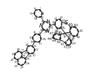 c1ccc(-c2nc(-c3ccc(-c4ccc5c(c4)-c4cccc6cccc-5c46)cc3)nc(-c3ccc4c(c3)C3(c5ccccc5S4)c4ccccc4-c4ccccc43)n2)cc1